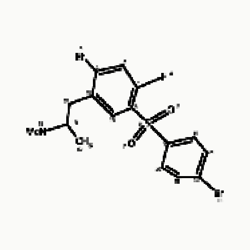 CCc1cc(F)c(S(=O)(=O)c2ccc(Br)cc2)cc1CC(C)NC